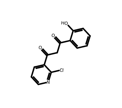 O=C(CC(=O)c1cccnc1Cl)c1ccccc1O